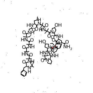 CCC(C)(NC(=O)C(CC(C)C)NC(=O)CNC(=O)C(C)(CC)NC(=O)C(C)(C)NC(=O)C(C)(C)NC(=O)C(C)(C)NC(=O)C(Cc1ccccc1)NC(C)=O)C(=O)NC(C)(C)C(=O)N1CC(O)CC1C(=O)NC(CCC(N)=O)C(=O)NC(C)(CC)C(=O)N1CC(O)CC1C(=O)NC(C)(C)C(=O)N1CCCC1C(=O)NC(CO)Cc1ccccc1